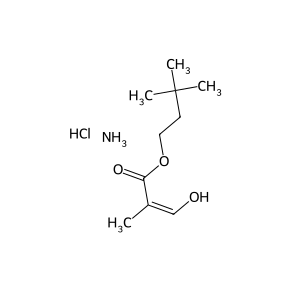 CC(=CO)C(=O)OCCC(C)(C)C.Cl.N